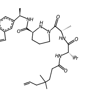 C=CCC(C)(C)CCC(=O)N[C@H](C(=O)N[C@@H](C)C(=O)N1CCC[C@@H](C(=O)N[C@H](C)c2cccc(C=C)c2)N1)C(C)C